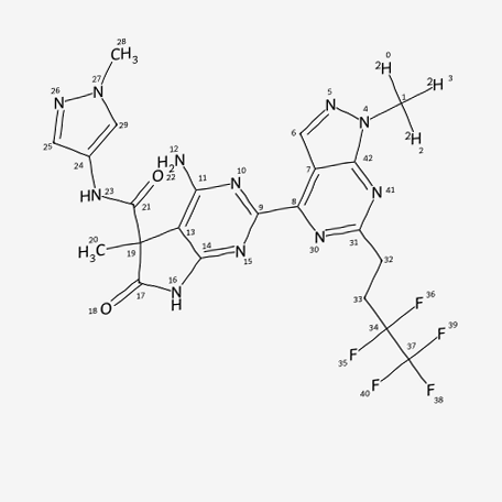 [2H]C([2H])([2H])n1ncc2c(-c3nc(N)c4c(n3)NC(=O)C4(C)C(=O)Nc3cnn(C)c3)nc(CCC(F)(F)C(F)(F)F)nc21